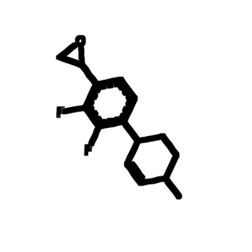 CC1C=CC(c2ccc(C3CO3)c(F)c2F)CC1